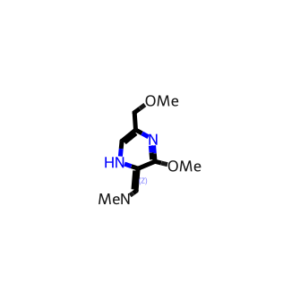 CN/C=C1\NC=C(COC)N=C1OC